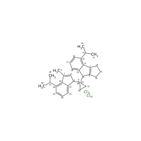 CC1=C[CH]([Zr+2]2([CH]3C4=C(CCC4)c4c(C(C)C)cccc43)[CH2][CH2]2)c2cccc(C(C)C)c21.[Cl-].[Cl-]